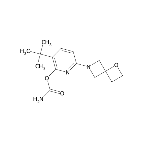 CC(C)(C)c1ccc(N2CC3(CCO3)C2)nc1OC(N)=O